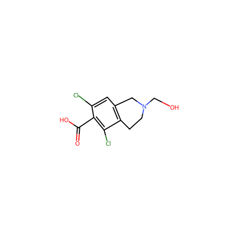 O=C(O)c1c(Cl)cc2c(c1Cl)CCN(CO)C2